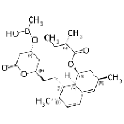 CC[C@H](C)C(=O)O[C@H]1C[C@@H](C)C=C2C=C[C@H](C)[C@H](CC[C@@H]3C[C@@H](OB(C)O)CC(=O)O3)[C@H]21